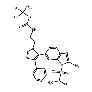 CC(C)S(=O)(=O)n1c(N)nc2ccc(-c3c(-c4ccccc4)ncn3CCNC(=O)OC(C)(C)C)cc21